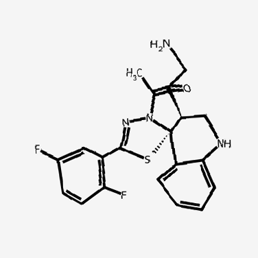 CC(=O)N1N=C(c2cc(F)ccc2F)S[C@]12c1ccccc1NC[C@@H]2CCN